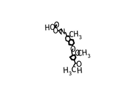 CCC(O)c1ccc(COc2ccc3c(c2)CCC(CN2CC(OC(=O)O)C2)=C3C)c(OC)c1